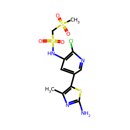 Cc1nc(N)sc1-c1cnc(Cl)c(NS(=O)(=O)CS(C)(=O)=O)c1